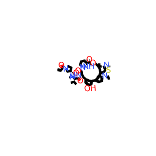 C=CC(=O)N1CC[C@H](C(=O)N(C)[C@H](C(=O)N[C@H]2Cc3cc(O)cc(c3)-c3ccc4c(c3)c(c(-c3cncs3)n4CC)CC(C)(C)COC(=O)[C@@H]3CCCN(N3)C2=O)C(C)C)C1